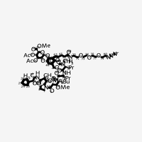 CCC(C)[C@@H]([C@@H](CC(=O)N1CCC[C@H]1[C@H](OC)[C@@H](C)C(=O)NC(C)C(O)c1ccccc1)OC)N(C)C(=O)[C@@H](NC(=O)[C@H](C(C)C)N(C)C(=O)OCc1ccc(O[C@@H]2O[C@H](C(=O)OC)[C@@H](OC(C)=O)[C@H](OC(C)=O)[C@H]2OC(C)=O)c2cc(CCC(=O)NCCOCCOCCOCCN=[N+]=[N-])oc12)C(C)C